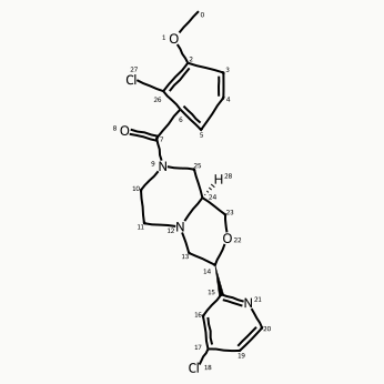 COc1cccc(C(=O)N2CCN3C[C@H](c4cc(Cl)ccn4)OC[C@@H]3C2)c1Cl